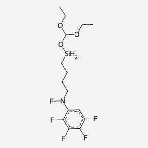 CCOC(OCC)O[SiH2]CCCCN(F)c1cc(F)c(F)c(F)c1F